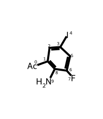 CC(=O)c1cc(I)cc(F)c1N